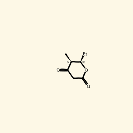 CC[C@H]1OC(=O)CC(=O)[C@H]1C